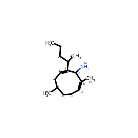 CCCC(C)C1=CCC(C)CCC=C(C)C1N